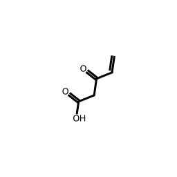 C=CC(=O)CC(=O)O